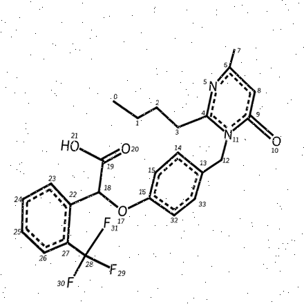 CCCCc1nc(C)cc(=O)n1Cc1ccc(OC(C(=O)O)c2ccccc2C(F)(F)F)cc1